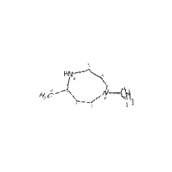 CC1CCN(C)CCN1